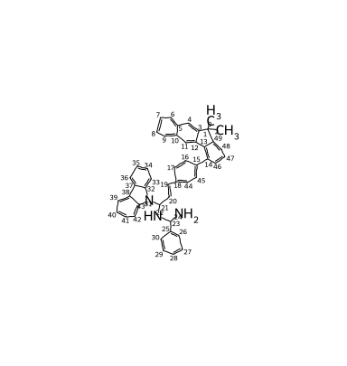 CC1(C)c2cc3ccccc3cc2-c2c(-c3ccc(/C=C/C(NC(N)c4ccccc4)n4c5ccccc5c5ccccc54)cc3)cccc21